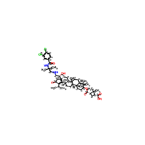 CC(C)C1=C2[C@H]3CC[C@@H]4[C@@]5(C)CC[C@H](OC(=O)[C@H]6C[C@@H](C(=O)O)C6(C)C)C(C)(C)[C@@H]5CC[C@@]4(C)[C@]3(C)CC[C@@]2([C@@H](O)CNCC(C)(C)NC(=O)c2ccc(Cl)c(Cl)c2)CC1=O